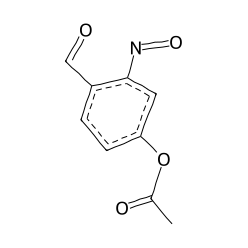 CC(=O)Oc1ccc(C=O)c(N=O)c1